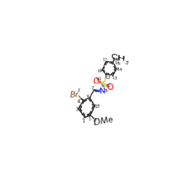 COc1ccc(Br)c(C=NS(=O)(=O)c2ccc(C)cc2)c1